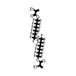 C=C(CC)C(=O)OC(F)(F)C(F)(F)C(F)(F)C(F)(F)C(F)(F)C(F)(F)[Si](C)(C)C(F)(F)C(F)(F)C(F)(F)C(F)(F)C(F)(F)C(F)(F)OC(=O)C(=C)CC